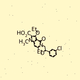 CCOc1c(C(=O)O)n(C)c2cc(CC)n(CC(=O)c3cccc(Cl)c3)c(=O)c12